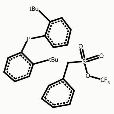 CC(C)(C)c1ccccc1[I+]c1ccccc1C(C)(C)C.O=S(=O)(Cc1ccccc1)OC(F)(F)F